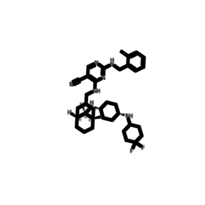 Cc1ccccc1CNc1ncc(C#N)c(NCC2C[C@H]3CCC[C@@H](C2)[C@@H]3N[C@H]2CC[C@@H](NC3CCC(F)(F)CC3)CC2)n1